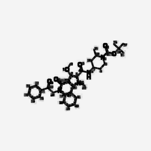 COc1c(C(=O)NC2CCN(C(=O)OC(C)(C)C)C(C)C2)n(C)c2c1c(=O)n(CC(=O)c1ccccc1)c1ccccc21